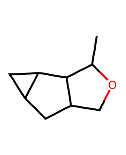 CC1OCC2CC3CC3C21